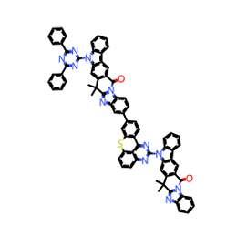 CC1(C)c2cc3c(cc2C(=O)n2c1nc1ccccc12)c1ccccc1n3-c1nc2c3c(cccc3n1)Sc1cc(-c3ccc4c(c3)nc3n4C(=O)c4cc5c6ccccc6n(-c6nc(-c7ccccc7)nc(-c7ccccc7)n6)c5cc4C3(C)C)ccc1-2